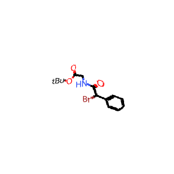 CC(C)(C)OC(=O)CNC(=O)C(Br)c1ccccc1